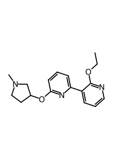 CCOc1ncccc1-c1cccc(OC2CCN(C)C2)n1